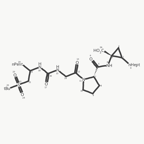 CCCCCCCC1C[C@]1(NC(=O)[C@@H]1CCCN1C(=O)CNC(=O)NC(CCCCC)CS(=O)(=O)C(C)(C)C)C(=O)O